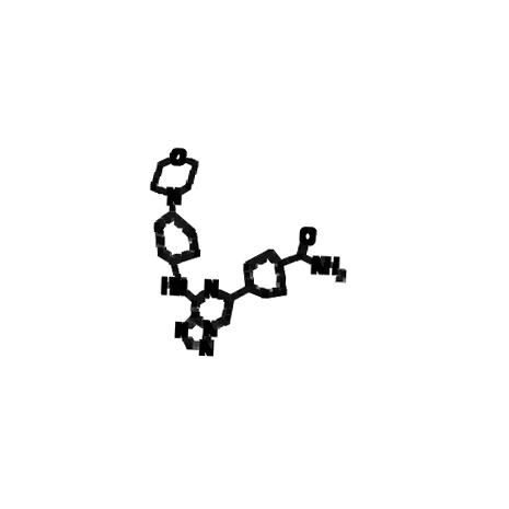 NC(=O)c1ccc(-c2cn3ncnc3c(Nc3ccc(N4CCOCC4)cc3)n2)cc1